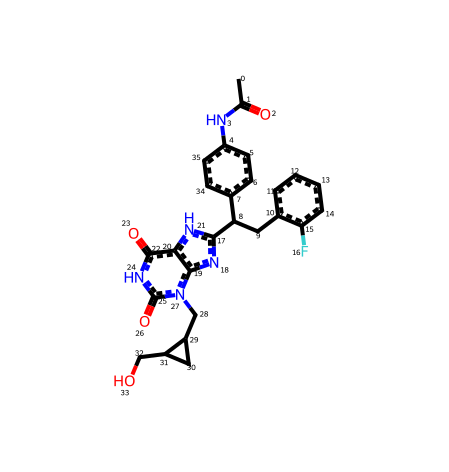 CC(=O)Nc1ccc(C(Cc2ccccc2F)c2nc3c([nH]2)c(=O)[nH]c(=O)n3CC2CC2CO)cc1